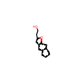 OCCc1cc2cc3ccccc3cc2o1